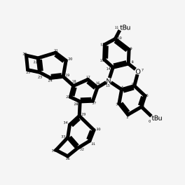 CC(C)(C)c1ccc2c(c1)Oc1cc(C(C)(C)C)ccc1N2c1cc(-c2ccc3c(c2)CC3)cc(-c2ccc3c(c2)CC3)c1